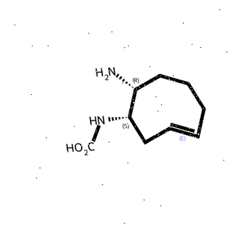 N[C@@H]1CCC/C=C/C[C@@H]1NC(=O)O